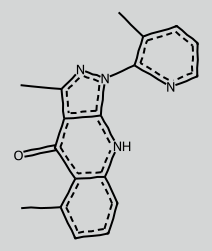 Cc1cccnc1-n1nc(C)c2c(=O)c3c(C)cccc3[nH]c21